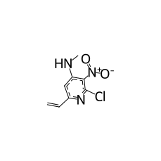 C=Cc1cc(NC)c([N+](=O)[O-])c(Cl)n1